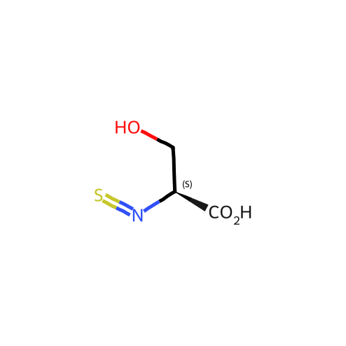 O=C(O)[C@H](CO)N=S